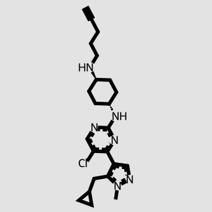 C#CCCCN[C@H]1CC[C@H](Nc2ncc(Cl)c(-c3cnn(C)c3CC3CC3)n2)CC1